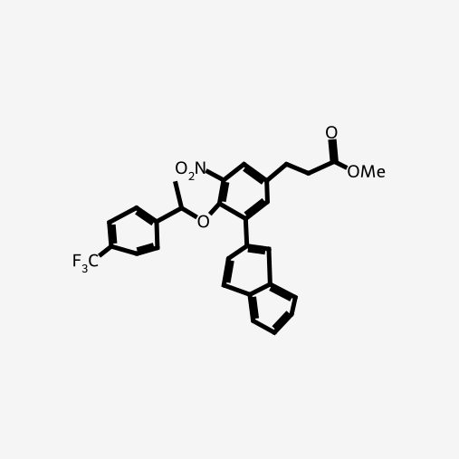 COC(=O)CCc1cc(-c2ccc3ccccc3c2)c(OC(C)c2ccc(C(F)(F)F)cc2)c([N+](=O)[O-])c1